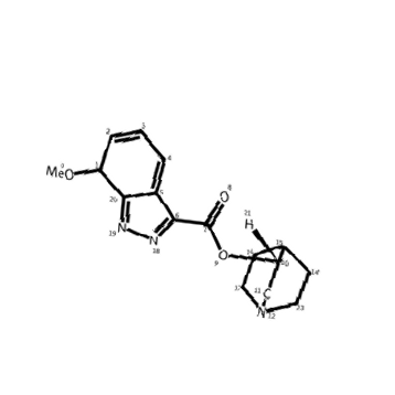 COC1C=CC=C2C(C(=O)O[C@H]3CN4CCC3CC4)=NN=C21